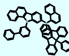 c1ccc(-c2cccc(-n3c4cc(N(c5ccc6c(c5)C(c5ccccc5)(c5ccccc5-c5ccccc5)c5ccccc5-6)c5cccc6ccccc56)ccc4c4ccc5ccccc5c43)c2)cc1